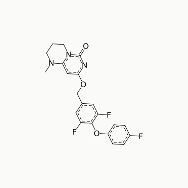 CN1CCCn2c1cc(OCc1cc(F)c(Oc3ccc(F)cc3)c(F)c1)nc2=O